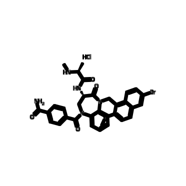 CN[C@@H](C)C(=O)N[C@H]1CN(C(=O)c2ccc(C(N)=O)cc2)c2ccccc2N(Cc2c(OC)ccc3cc(Br)ccc23)C1=O.Cl